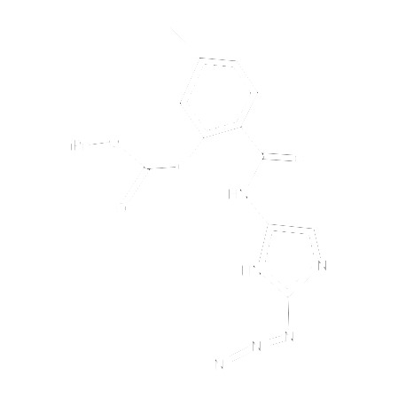 Cc1ccc(C(=O)Nc2cnc(N=[N+]=[N-])[nH]2)c(OC(=O)OC(C)C)c1